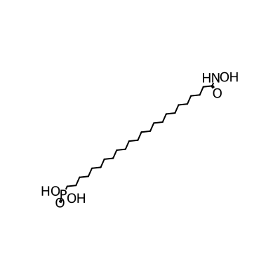 O=C(CCCCCCCCCCCCCCCCCCCCCCCP(=O)(O)O)NO